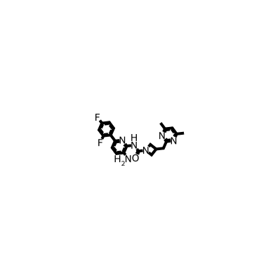 Cc1cc(C)nc(CC2CN(C(=O)Nc3nc(-c4ccc(F)cc4F)ccc3N)C2)n1